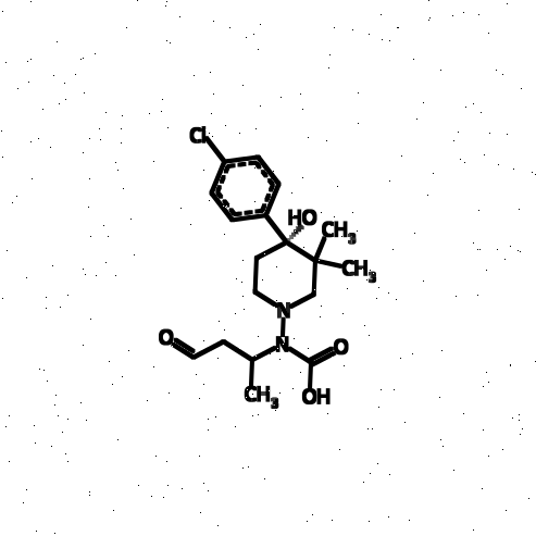 CC(CC=O)N(C(=O)O)N1CC[C@@](O)(c2ccc(Cl)cc2)C(C)(C)C1